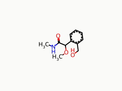 CNC(=O)C(OC)c1ccccc1CO